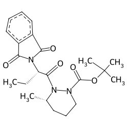 CC[C@@H](C(=O)N1[C@@H](C)CCCN1C(=O)OC(C)(C)C)N1C(=O)c2ccccc2C1=O